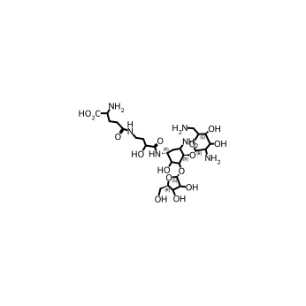 NCC1O[C@H](O[C@@H]2C(N)C[C@@H](NC(=O)C(O)CCNC(=O)CCC(N)C(=O)O)C(O)C2O[C@@H]2O[C@H](CO)C(O)C2O)C(N)C(O)[C@@H]1O